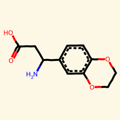 NC(CC(=O)O)c1ccc2c(c1)OCCO2